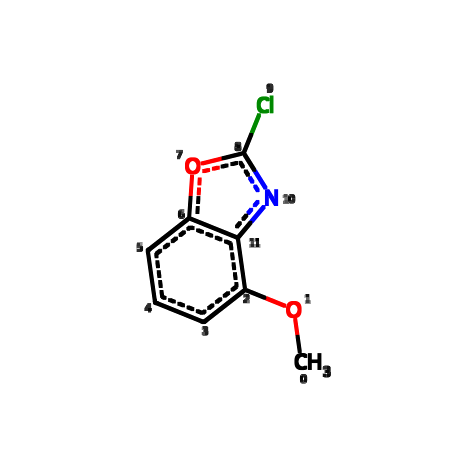 COc1cccc2oc(Cl)nc12